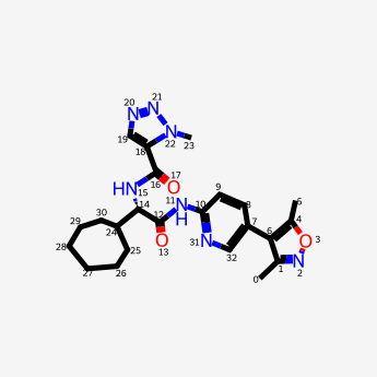 Cc1noc(C)c1-c1ccc(NC(=O)[C@@H](NC(=O)c2cnnn2C)C2CCCCCC2)nc1